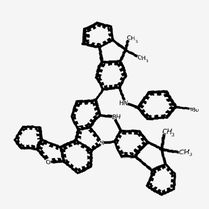 CC(C)(C)c1ccc(Nc2cc3c(cc2-c2ccc4c5c6c(ccc5n5c4c2Bc2cc4c(cc2-5)-c2ccccc2C4(C)C)oc2ccccc26)-c2ccccc2C3(C)C)cc1